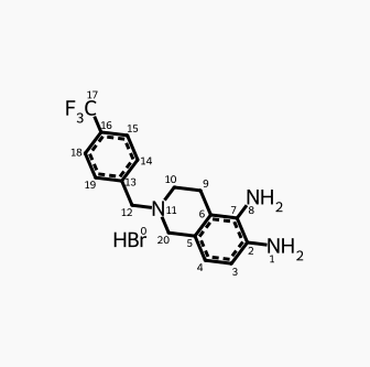 Br.Nc1ccc2c(c1N)CCN(Cc1ccc(C(F)(F)F)cc1)C2